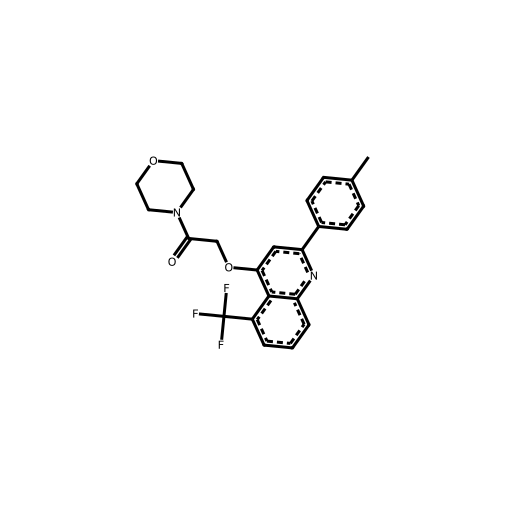 Cc1ccc(-c2cc(OCC(=O)N3CCOCC3)c3c(C(F)(F)F)cccc3n2)cc1